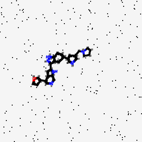 c1cc(-c2cncc3[nH]c(-c4n[nH]c5ccc(-c6cncc(CN7CCCC7)c6)cc45)cc23)co1